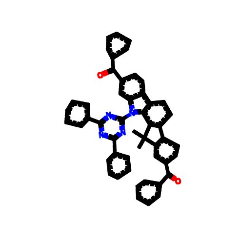 CC1(C)c2cc(C(=O)c3ccccc3)ccc2-c2ccc3c4ccc(C(=O)c5ccccc5)cc4n(-c4nc(-c5ccccc5)nc(-c5ccccc5)n4)c3c21